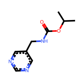 CC(C)OC(=O)NCc1cncnc1